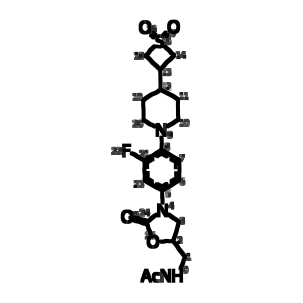 CC(=O)NCC1CN(c2ccc(N3CCC(C4CS(=O)(=O)C4)CC3)c(F)c2)C(=O)O1